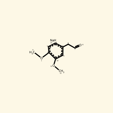 COc1ccc(CC=O)cc1OC.[NaH]